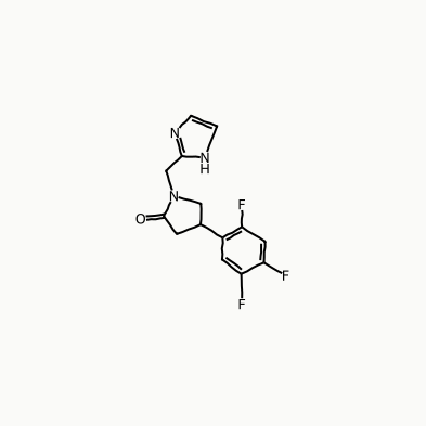 O=C1CC(c2cc(F)c(F)cc2F)CN1Cc1ncc[nH]1